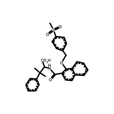 CC(C)(c1ccccc1)C(NC(=O)c1ccc2ccccc2c1OCc1ccc(S(C)(=O)=O)cc1)C(=O)O